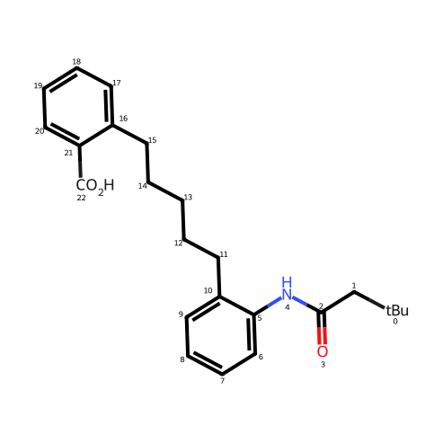 CC(C)(C)CC(=O)Nc1ccccc1CCCCCc1ccccc1C(=O)O